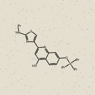 CC(C)Nc1nc(-c2cc(O)c3ccc(O[Si](C(C)C)(C(C)C)C(C)C)cc3n2)cs1